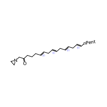 CCCCC/C=C/C/C=C/C/C=C/C/C=C/CCCC(=O)CN1CC1